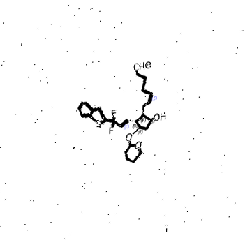 O=CCCC/C=C\C[C@@H]1[C@@H](/C=C/C(F)(F)c2cc3ccccc3s2)[C@H](OC2CCCCO2)C[C@@H]1O